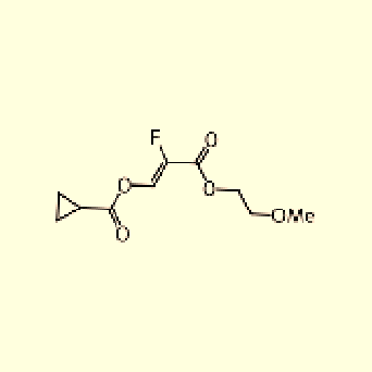 COCCOC(=O)C(F)=COC(=O)C1CC1